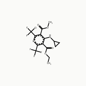 CCOC(=O)c1c(C(F)(F)F)nc(C(F)(F)Cl)c(C(=O)OC)c1NC1CC1